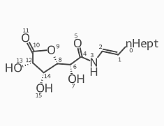 CCCCCCC/C=C/NC(=O)[C@H](O)[C@H]1OC(=O)[C@@H](O)[C@H]1O